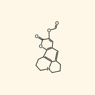 O=COc1cc2cc3c4c(c2oc1=O)CCCN4CCC3